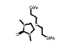 CN1CCN(C)C1=O.COCCOCCOC